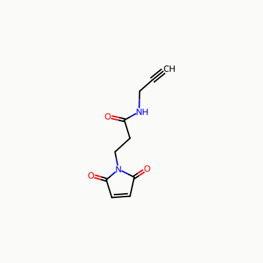 C#CCNC(=O)CCN1C(=O)C=CC1=O